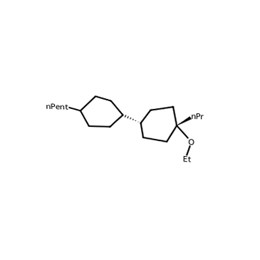 CCCCCC1CCC([C@H]2CC[C@@](CCC)(OCC)CC2)CC1